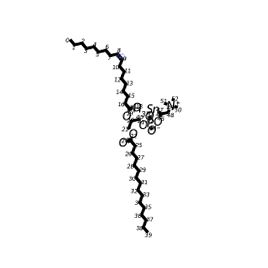 CCCCCCCC/C=C\CCCCCCCC(=O)OC(COC(=O)CCCCCCCCCCCCCCC)COP(=O)([O-])O[CH]([SnH3])C[N+](C)(C)C